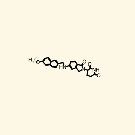 COc1ccc2cc(CNc3ccc4c(c3)CN(C3CCC(=O)NC3=O)C4=O)ccc2c1